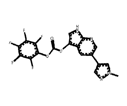 Cn1cc(-c2cnc3[nH]cc(OC(=O)Oc4c(F)c(F)c(F)c(F)c4F)c3c2)cn1